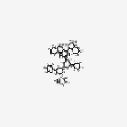 C1=CNC(c2cc(-c3cc(-c4ccccc4)cc(-c4nc(-c5cccc6ccccc56)c5ccc6ccccc6c5n4)c3)cc(-c3ccccn3)c2)C=C1